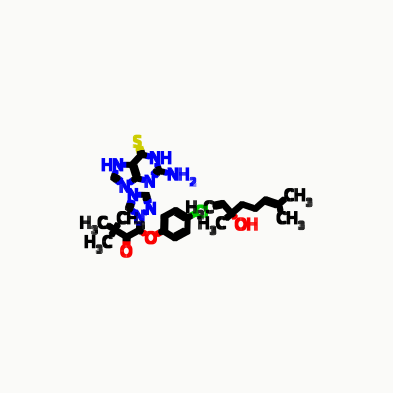 C=CC(C)(O)CCC=C(C)C.CC(C)(C)C(=O)C(Oc1ccc(Cl)cc1)n1cncn1.Nc1nc2nc[nH]c2c(=S)[nH]1